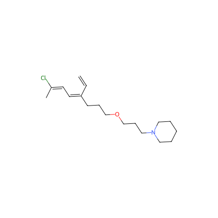 C=C/C(=C\C=C(/C)Cl)CCCOCCCN1CCCCC1